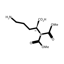 COC(=O)N(C(=O)OC)[C@@H](CCCN)C(=O)O